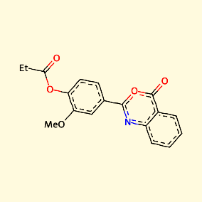 CCC(=O)Oc1ccc(-c2nc3ccccc3c(=O)o2)cc1OC